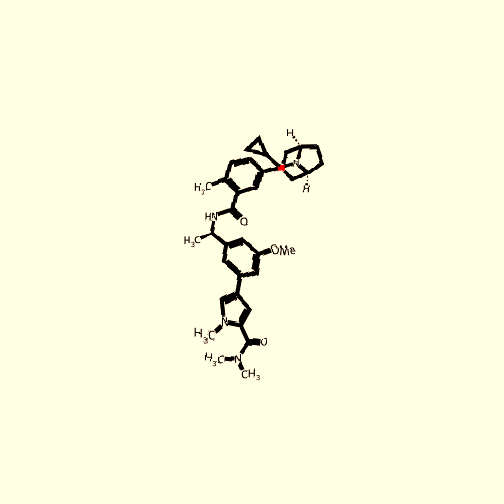 COc1cc(-c2cc(C(=O)N(C)C)n(C)c2)cc([C@@H](C)NC(=O)c2cc(N3C[C@H]4CC[C@@H](C3)N4CC3CC3)ccc2C)c1